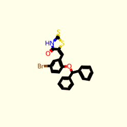 O=C1NC(=S)SC1=Cc1cc(Br)ccc1OC(c1ccccc1)c1ccccc1